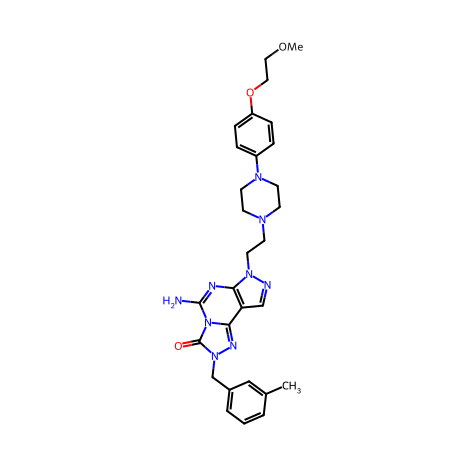 COCCOc1ccc(N2CCN(CCn3ncc4c3nc(N)n3c(=O)n(Cc5cccc(C)c5)nc43)CC2)cc1